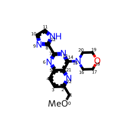 COCc1ccc2nc(-c3ncc[nH]3)nc(N3CCOCC3)c2n1